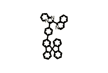 c1ccc2c(c1)-c1ccccc1C21c2ccccc2-c2ccc(-c3ccc(-c4c(-c5nccc6ccccc56)nc5ccccn45)cc3)cc21